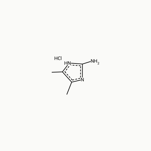 Cc1nc(N)[nH]c1C.Cl